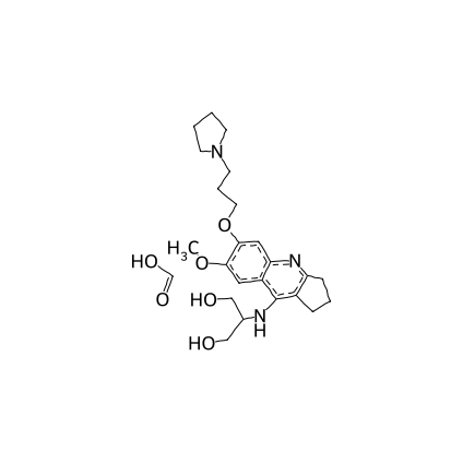 COc1cc2c(NC(CO)CO)c3c(nc2cc1OCCCN1CCCC1)CCC3.O=CO